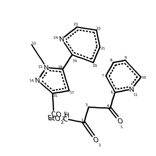 CCOC(=O)C(=O)CC(=O)c1ccccn1.Cn1nc(C(=O)O)cc1-c1ccccn1